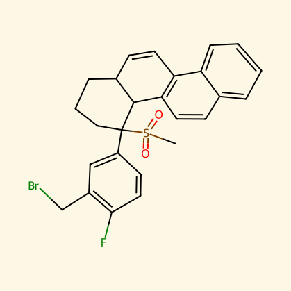 CS(=O)(=O)C1(c2ccc(F)c(CBr)c2)CCCC2C=Cc3c(ccc4ccccc34)C21